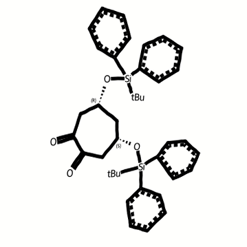 CC(C)(C)[Si](O[C@@H]1CC(=O)C(=O)C[C@H](O[Si](c2ccccc2)(c2ccccc2)C(C)(C)C)C1)(c1ccccc1)c1ccccc1